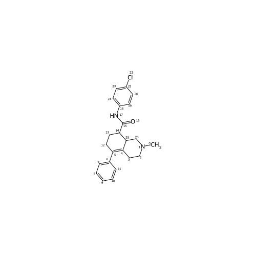 CN1CCC2=C(c3ccccc3)CCC(C(=O)Nc3ccc(Cl)cc3)C2C1